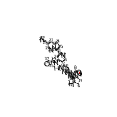 CC(=O)N[C@@H]1[C@@H]2CC[C@H]1CN(c1nnc(-c3cnc(-c4ccc5cc(C#N)cnn45)cc3NC3(C)COC3)s1)C2